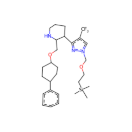 C[Si](C)(C)CCOCn1cc(C(F)(F)F)c(C2CCCNC2COC2CCC(c3ccccc3)CC2)n1